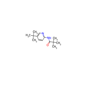 CC(C)(C)C(=O)Nc1ccc(C(C)(C)C)cn1